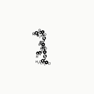 CC1(C)CCC(CN2CCN(c3ccc(C(=O)NS(=O)(=O)c4ccc(NCC5CCN(C(=O)C(N)c6cccc7c6CN(C6CCC(=O)NC6=O)C7=O)CC5)c([N+](=O)[O-])c4)c(Oc4cnc5[nH]ccc5c4)c3)CC2)=C(c2ccc(Cl)cc2)C1